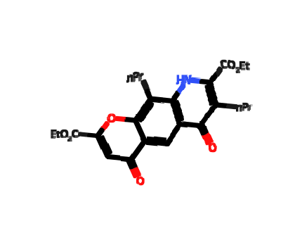 CCCc1c(C(=O)OCC)[nH]c2c(CCC)c3oc(C(=O)OCC)cc(=O)c3cc2c1=O